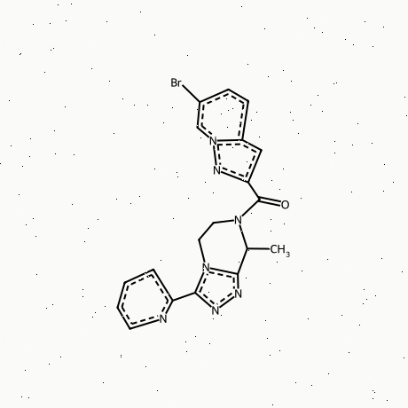 CC1c2nnc(-c3ccccn3)n2CCN1C(=O)c1cc2ccc(Br)cn2n1